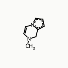 CN1C=Cn2cccc2C1